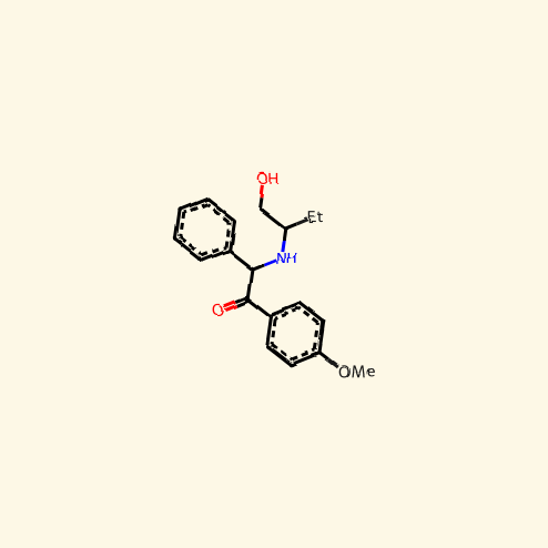 CCC(CO)NC(C(=O)c1ccc(OC)cc1)c1ccccc1